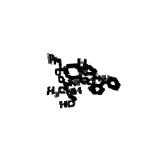 CC(C)CC(=O)N1CC[C@H]2CC[C@@H](C(=O)NC(c3ccccc3)c3ccccc3)N2C(=O)[C@@H](NC(=O)[C@H](C)NCCO)C1